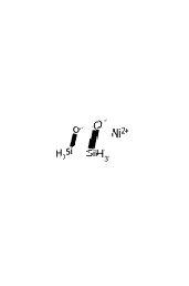 [Ni+2].[O-][SiH3].[O-][SiH3]